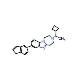 CC(C1CCC1)N1CCc2nc3cc(-c4ccc5c(c4)C=CC5)ccc3n2CC1